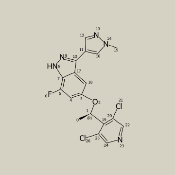 C[C@@H](Oc1cc(F)c2[nH]nc(-c3cnn(C)c3)c2c1)c1c(Cl)cncc1Cl